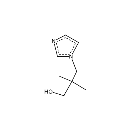 CC(C)(CO)Cn1ccnc1